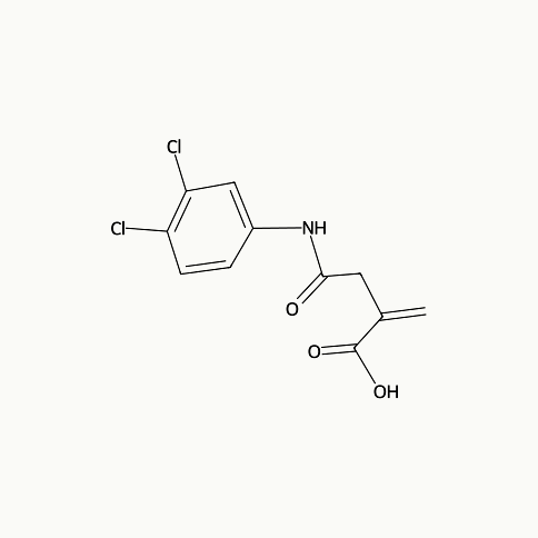 C=C(CC(=O)Nc1ccc(Cl)c(Cl)c1)C(=O)O